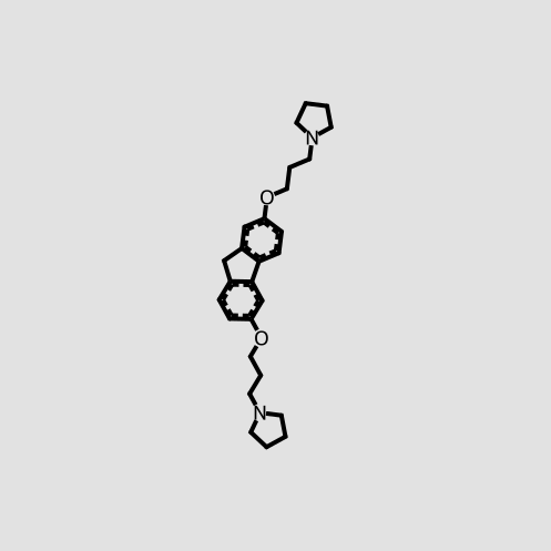 c1cc2c(cc1OCCCN1CCCC1)Cc1ccc(OCCCN3CCCC3)cc1-2